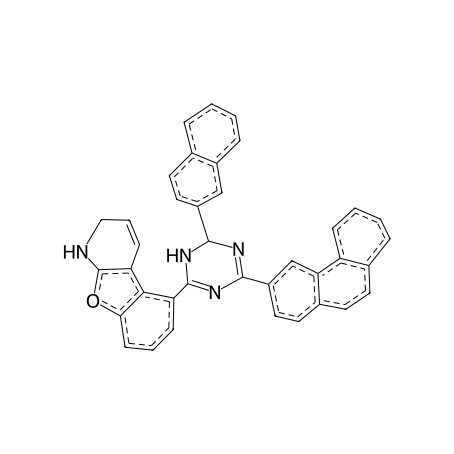 C1=Cc2c(oc3cccc(C4=NC(c5ccc6ccc7ccccc7c6c5)=NC(c5ccc6ccccc6c5)N4)c23)NC1